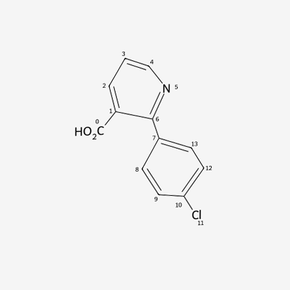 O=C(O)c1cccnc1-c1ccc(Cl)cc1